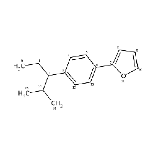 CCC(c1ccc(-c2ccco2)cc1)C(C)C